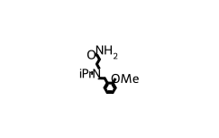 COc1ccccc1CCN(CCCC(N)=O)C(C)C